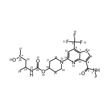 CNC(=O)c1csc2c(C(F)(F)F)cc(N3CCC(OC(=O)NC(C)C[S+](C)[O-])CC3)nc12